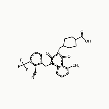 Cc1cccc2c1c(=O)n(CC1CCC(C(=O)O)CC1)c(=O)n2Cc1cccc(C(F)(F)F)c1C#N